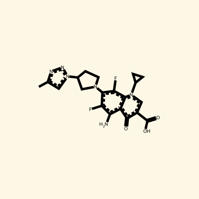 Cc1cn(C2CCN(c3c(F)c(N)c4c(=O)c(C(=O)O)cn(C5CC5)c4c3F)C2)nn1